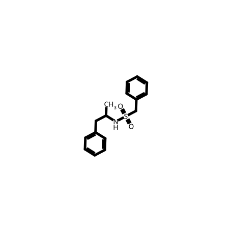 CC(Cc1ccccc1)NS(=O)(=O)Cc1ccccc1